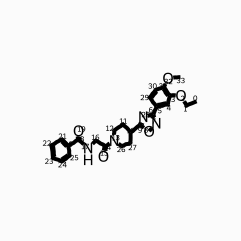 CCOc1cc(-c2noc(C3CCN(C(=O)CNC(=O)c4ccccc4)CC3)n2)ccc1OC